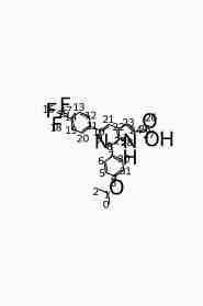 CC(C)Oc1ccc(-c2nc(-c3ccc(C(F)(F)F)cc3)cc3cc(C(=O)O)[nH]c23)cc1